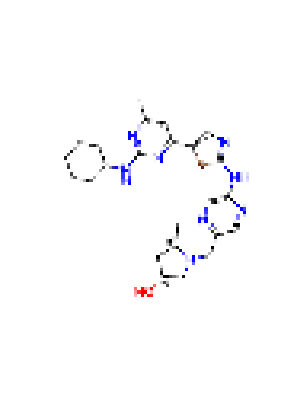 Cc1cc(-c2cnc(Nc3cnc(CN4C[C@H](O)C[C@H]4C)cn3)s2)nc(NC2CCCCC2)n1